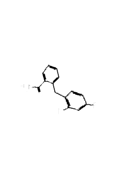 NC(=O)c1ccccc1Cc1ccc(F)cc1F